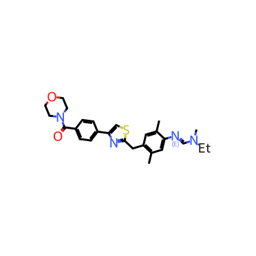 CCN(C)/C=N/c1cc(C)c(Cc2nc(-c3ccc(C(=O)N4CCOCC4)cc3)cs2)cc1C